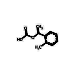 C=C(OC(=O)O)c1ccccc1C